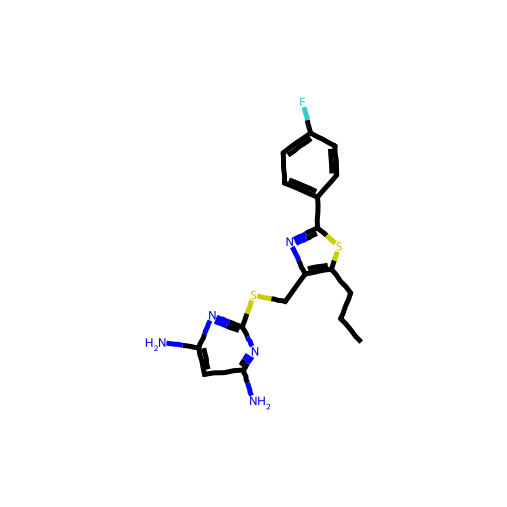 CCCc1sc(-c2ccc(F)cc2)nc1CSc1nc(N)cc(N)n1